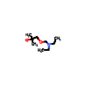 CCN(CC)COCC(C)(C)[O]